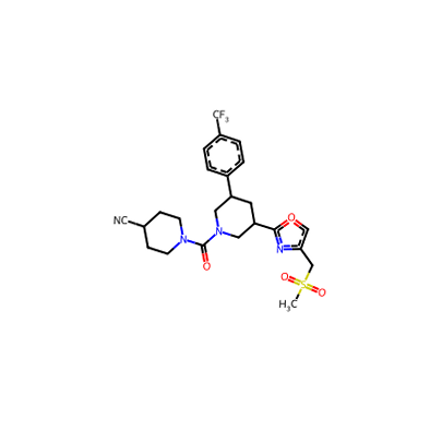 CS(=O)(=O)Cc1coc(C2CC(c3ccc(C(F)(F)F)cc3)CN(C(=O)N3CCC(C#N)CC3)C2)n1